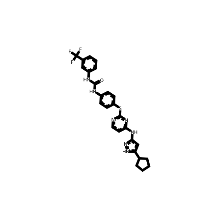 O=C(Nc1ccc(Sc2nccc(Nc3cc(C4CCCC4)[nH]n3)n2)cc1)Nc1cccc(C(F)(F)F)c1